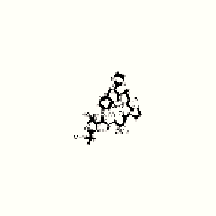 CC[C@H](C)[C@@H]([C@@H](CC(=O)N1CCC[C@H]1[C@H](OC)[C@@H](C)C(=O)N[C@@H](Cc1ccccc1)c1nccs1)OC)N(C)C(=O)[C@@H](NC(=O)C(C)(C)NC)C(C)(C)O